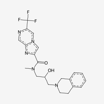 CN(CC(O)CN1CCc2ccccc2C1)C(=O)c1cn2cc(C(F)(F)F)ncc2n1